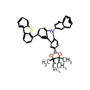 CC1(C)OB(c2ccc3c(c2)c2cc(-c4cccc5c4sc4ccccc45)ccc2n3-c2ccc3ccccc3c2)OC1(C)C